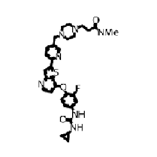 CNC(=O)CCN1CCN(Cc2ccc(-c3cc4nccc(Oc5ccc(NC(=O)NC6CC6)cc5F)c4s3)nc2)CC1